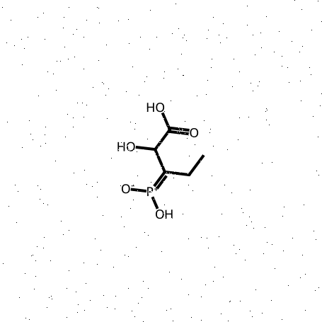 CC/C(C(O)C(=O)O)=[P+](/[O-])O